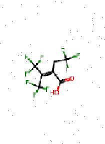 O=C(O)C(CC(F)(F)F)=C(C(F)(F)F)C(F)(F)F